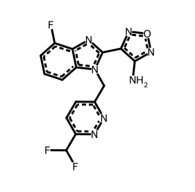 Nc1nonc1-c1nc2c(F)cccc2n1Cc1ccc(C(F)F)nn1